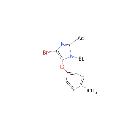 CCn1c(C(C)=O)nc(Br)c1Oc1ccc(C)cc1